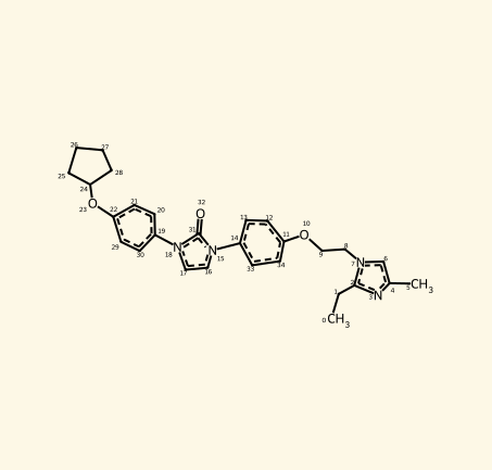 CCc1nc(C)cn1CCOc1ccc(-n2ccn(-c3ccc(OC4CCCC4)cc3)c2=O)cc1